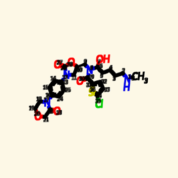 CNCCCCC(O)N(C[C@H]1CN(c2ccc(N3CCOCC3=O)cc2)C(=O)O1)C(=O)c1ccc(Cl)s1